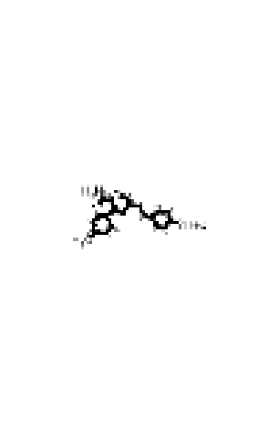 [CH2]CCCCCc1ccc(CCc2cnc3c(N)nc4cc(C)ccc4c3c2)cc1